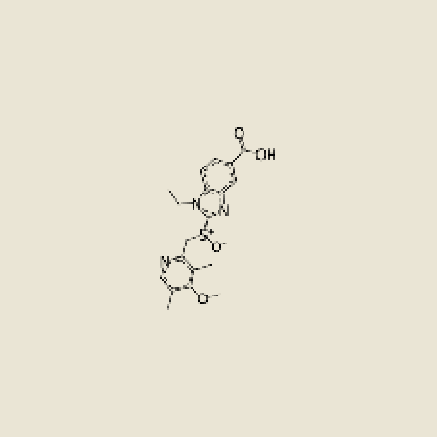 CCn1c([S+]([O-])Cc2ncc(C)c(OC)c2C)nc2cc(C(=O)O)ccc21